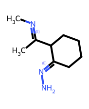 C/N=C(\C)C1CCCC/C1=N\N